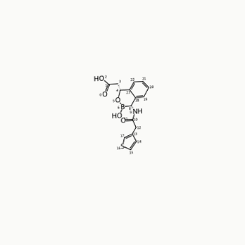 O=C(O)C[C@H]1OB(O)[C@@H](NC(=O)Cc2ccsc2)c2ccccc21